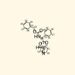 O=C(N[C@@H](C(=O)O[C@H]1CN2CCC1CC2)c1ccccc1)OCc1ccccc1